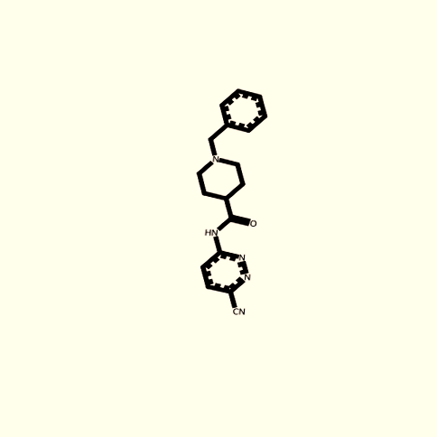 N#Cc1ccc(NC(=O)C2CCN(Cc3ccccc3)CC2)nn1